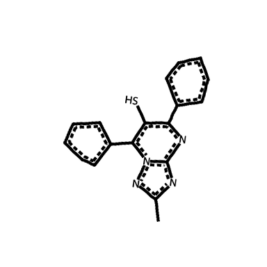 Cc1nc2nc(-c3ccccc3)c(S)c(-c3ccccc3)n2n1